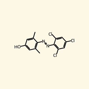 Cc1cc(O)cc(C)c1N=Nc1c(Cl)cc(Cl)cc1Cl